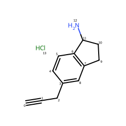 C#CCc1ccc2c(c1)CCC2N.Cl